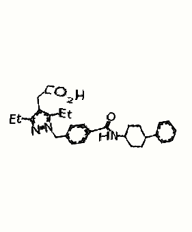 CCc1nn(Cc2ccc(C(=O)NC3CCC(c4ccccc4)CC3)cc2)c(CC)c1CC(=O)O